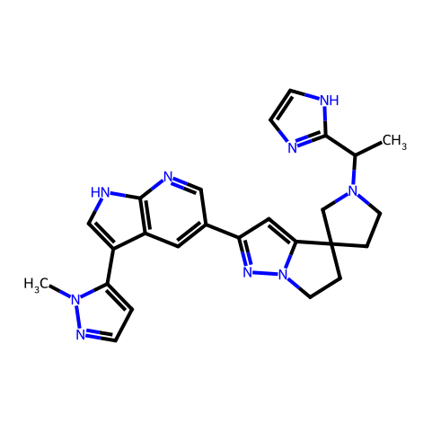 CC(c1ncc[nH]1)N1CCC2(CCn3nc(-c4cnc5[nH]cc(-c6ccnn6C)c5c4)cc32)C1